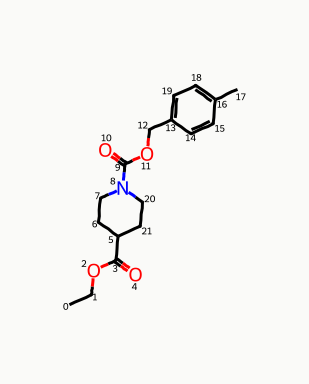 CCOC(=O)C1CCN(C(=O)OCc2ccc(C)cc2)CC1